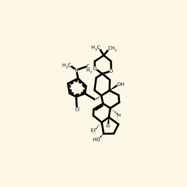 CC[C@]12CC=C3[C@@H](CC[C@@]4(O)CC5(CC[C@]34Cc3cc(N(C)C)ccc3Cl)OCC(C)(C)CO5)[C@@H]1CC[C@@H]2O